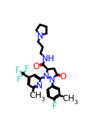 Cc1cc(C(F)(F)F)cc(N2C(C(=O)NCCCN3CCCC3)CC(=O)N2c2ccc(F)c(C)c2)n1